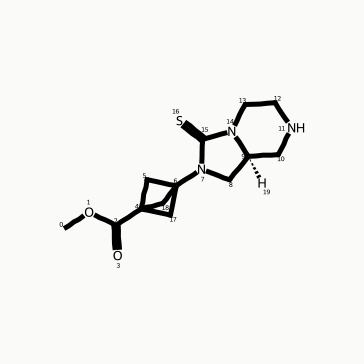 COC(=O)C12CC(N3C[C@@H]4CNCCN4C3=S)(C1)C2